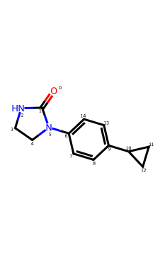 O=C1NCCN1c1ccc(C2CC2)cc1